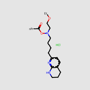 CCCC(=O)ON(CCCCc1ccc2c(n1)NCCC2)CCOCC.Cl